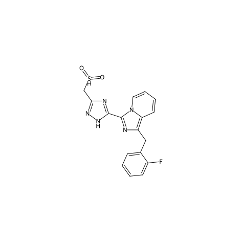 O=[SH](=O)Cc1n[nH]c(-c2nc(Cc3ccccc3F)c3ccccn23)n1